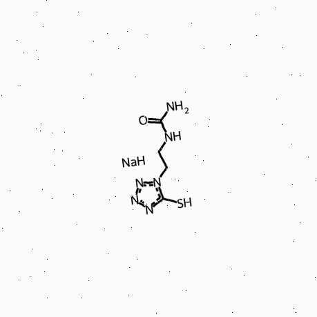 NC(=O)NCCn1nnnc1S.[NaH]